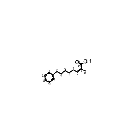 CC(=CCCCCCc1ccccc1)C(=O)O